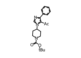 CC(=O)c1c(-c2ccccc2)ncn1C1CCN(C(=O)OC(C)(C)C)CC1